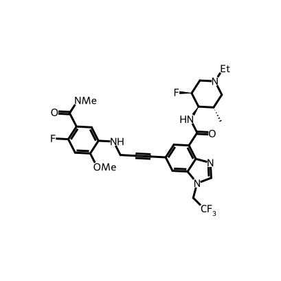 CCN1C[C@H](C)[C@@H](NC(=O)c2cc(C#CCNc3cc(C(=O)NC)c(F)cc3OC)cc3c2ncn3CC(F)(F)F)[C@@H](F)C1